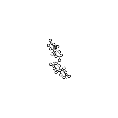 Cc1ccccc1N(c1ccccc1)c1ccc2c3cccc4c5c(-c6ccccc6)c6c(c(-c7ccccc7)c5n(c2c1)c34)c1cccc2c3ccc(N(c4ccccc4)c4ccc(-c5cccc(N(c7ccccc7)c7ccc8c9cccc%10c%11c(-c%12ccccc%12)c%12c(c(-c%13ccccc%13)c%11n(c8c7)c9%10)c7cccc8c9ccc(N(c%10ccccc%10)c%10ccccc%10)cc9n%12c87)c5)cc4C)cc3n6c21